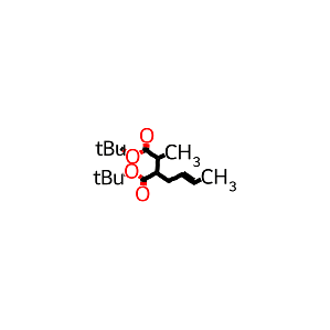 CC=CCC(C(=O)OC(C)(C)C)C(C)C(=O)OC(C)(C)C